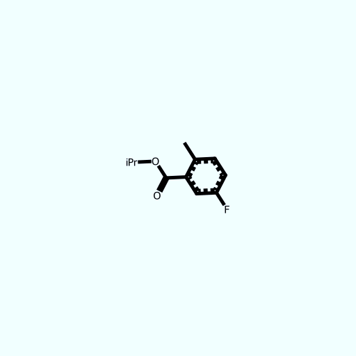 Cc1ccc(F)cc1C(=O)OC(C)C